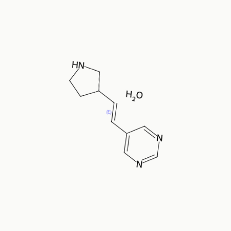 C(=C\C1CCNC1)/c1cncnc1.O